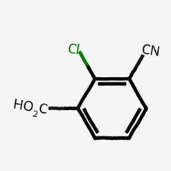 N#Cc1cccc(C(=O)O)c1Cl